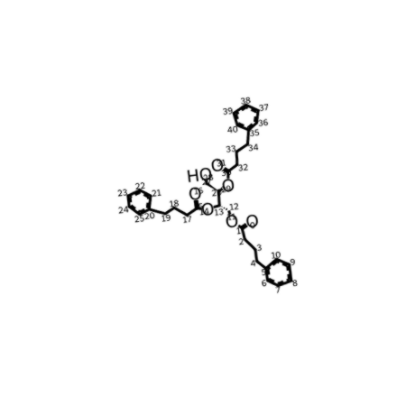 O=C(CCCc1ccccc1)OC[C@H](OC(=O)CCCc1ccccc1)[C@@H](CO)OC(=O)CCCc1ccccc1